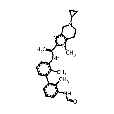 C=C(Nc1cccc(-c2cccc(NC=O)c2C)c1C)c1nc2c(n1C)CCN(C1CC1)C2